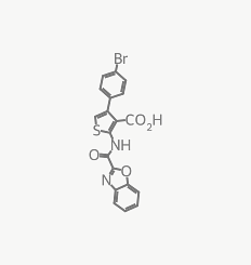 O=C(Nc1scc(-c2ccc(Br)cc2)c1C(=O)O)c1nc2ccccc2o1